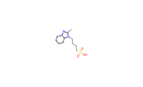 Cc1nc2ccccc2n1CCCCS(=O)(=O)O